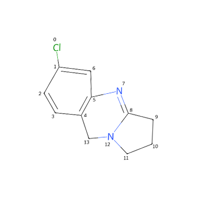 Clc1ccc2c(c1)N=C1CCCN1C2